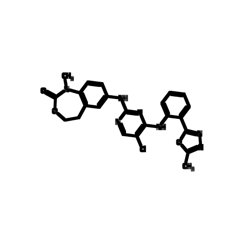 Cc1nnc(-c2ccccc2Nc2nc(Nc3ccc4c(c3)CCOC(=O)N4C)ncc2Cl)o1